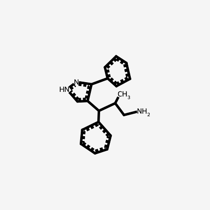 CC(CN)C(c1ccccc1)c1c[nH]nc1-c1ccccc1